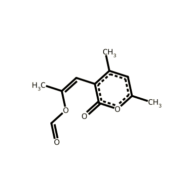 C/C(=C/c1c(C)cc(C)oc1=O)OC=O